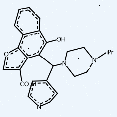 CC(C)N1CCN(C(c2ccncc2)c2c(O)c3ccccc3c3occ(C(=O)O)c23)CC1